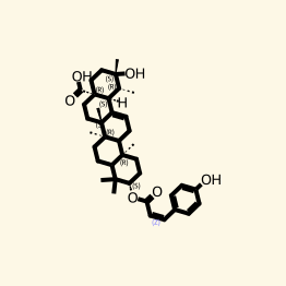 C[C@@H]1[C@H]2C3=CCC4[C@@]5(C)CC[C@H](OC(=O)/C=C\c6ccc(O)cc6)C(C)(C)C5CC[C@@]4(C)[C@]3(C)CC[C@@]2(C(=O)O)CC[C@]1(C)O